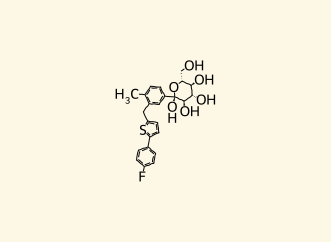 Cc1ccc([C@]2(O)O[C@H](CO)[C@@H](O)[C@H](O)[C@H]2O)cc1Cc1ccc(-c2ccc(F)cc2)s1